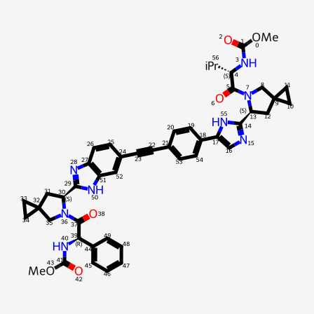 COC(=O)N[C@H](C(=O)N1CC2(CC2)C[C@H]1c1ncc(-c2ccc(C#Cc3ccc4nc([C@@H]5CC6(CC6)CN5C(=O)[C@H](NC(=O)OC)c5ccccc5)[nH]c4c3)cc2)[nH]1)C(C)C